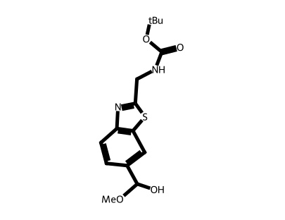 COC(O)c1ccc2nc(CNC(=O)OC(C)(C)C)sc2c1